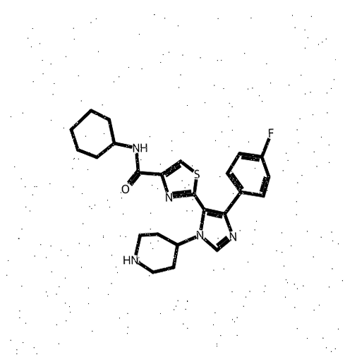 O=C(NC1CCCCC1)c1csc(-c2c(-c3ccc(F)cc3)ncn2C2CCNCC2)n1